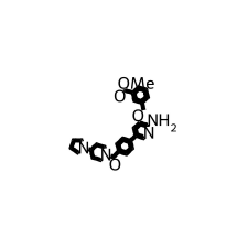 COC(=O)c1cccc(COc2cc(-c3ccc(C(=O)N4CCC(N5CCCC5)CC4)cc3)cnc2N)c1